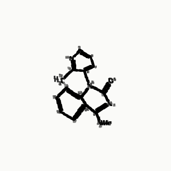 CNc1nc(=O)n(-c2cccnc2C)c2ccccc12